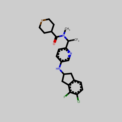 CN(C(=O)C1CCSCC1)C(c1ccc(NC2Cc3ccc(Cl)c(F)c3C2)cn1)C(F)(F)F